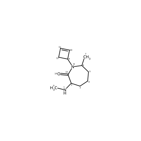 CNC1CCCC(C)N(C2C=CC2)C1=O